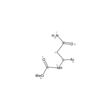 COC(=O)NC(CC(N)=O)C(C)=O